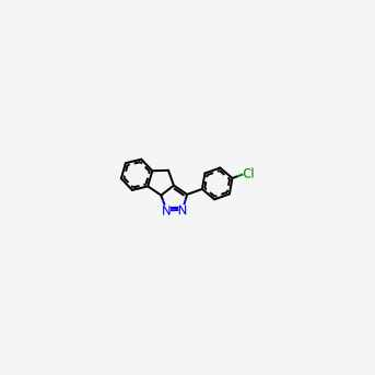 Clc1ccc(C2=C3Cc4ccccc4C3N=N2)cc1